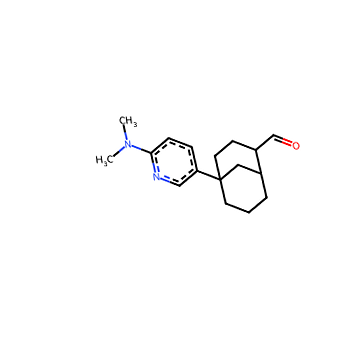 CN(C)c1ccc(C23CCCC(C2)C(C=O)CC3)cn1